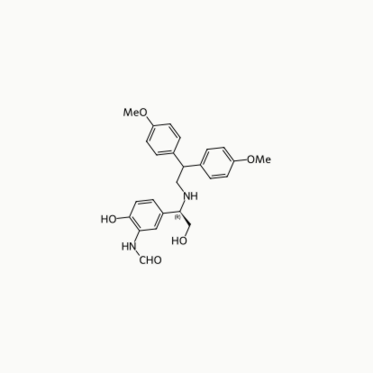 COc1ccc(C(CN[C@@H](CO)c2ccc(O)c(NC=O)c2)c2ccc(OC)cc2)cc1